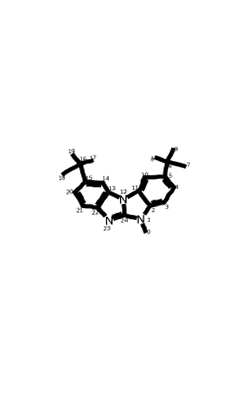 Cn1c2ccc(C(C)(C)C)cc2n2c3cc(C(C)(C)C)ccc3nc12